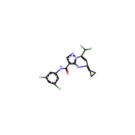 O=C(Nc1cc(Cl)cc(Cl)c1)c1cnn2c1NC(=C1CC1)C=C2C(F)F